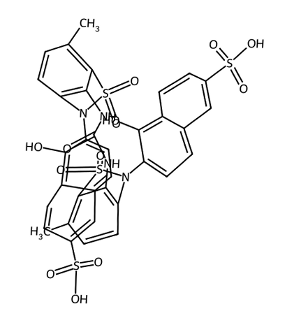 Cc1ccc2c(NC(=O)Nc3c4ccc(C)c3S(=O)(=O)N4c3ccc4cc(S(=O)(=O)O)ccc4c3O)c1S(=O)(=O)N2c1ccc2cc(S(=O)(=O)O)ccc2c1O